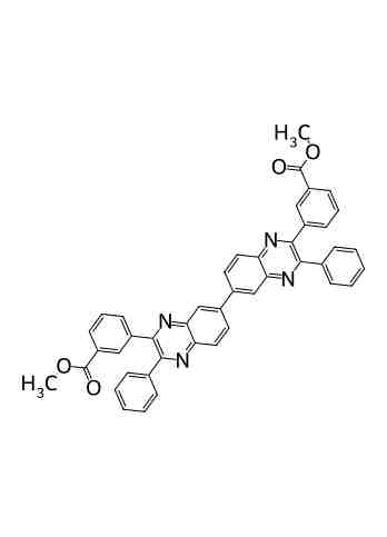 COC(=O)c1cccc(-c2nc3ccc(-c4ccc5nc(-c6ccccc6)c(-c6cccc(C(=O)OC)c6)nc5c4)cc3nc2-c2ccccc2)c1